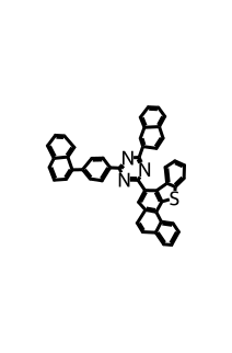 c1ccc2cc(-c3nc(-c4ccc(-c5cccc6ccccc56)cc4)nc(-c4cc5ccc6ccccc6c5c5sc6ccccc6c45)n3)ccc2c1